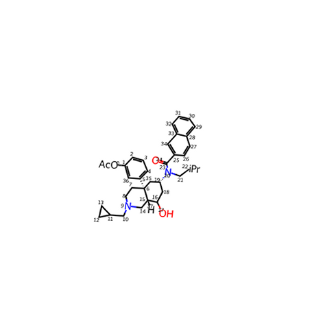 CC(=O)Oc1cccc([C@@]23CCN(CC4CC4)C[C@H]2C(O)C[C@@H](N(CC(C)C)C(=O)c2ccc4ccccc4c2)C3)c1